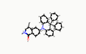 Cc1cn(C)c(=O)c2ccc(N3c4ccccc4C(c4ccccc4)(c4ccccc4)c4ccccc43)cc12